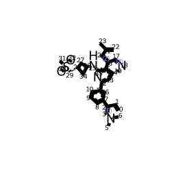 C=C/C(=C\N(C)C)c1cccc(-c2ccc(C(/C=N\C)=C/C(=C)C)c(N[C@H]3C[C@@H](CS(C)(=O)=O)C3)n2)c1